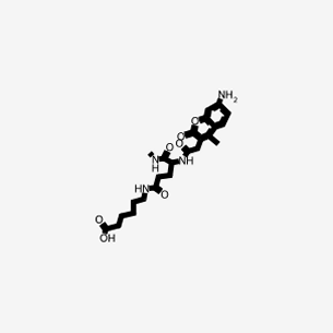 CNC(=O)C(CCC(=O)NCCCCCC(=O)O)NC(=O)Cc1c(C)c2ccc(N)cc2oc1=O